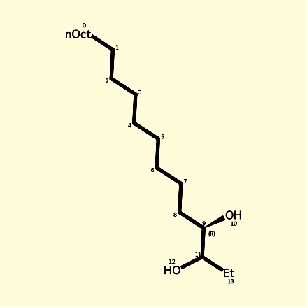 CCCCCCCCCCCCCCCC[C@@H](O)C(O)CC